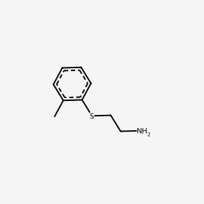 Cc1ccccc1SCCN